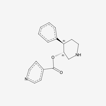 O=C(O[C@H]1CNCC[C@@H]1c1ccccc1)c1ccncc1